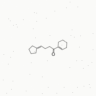 O=C(CCC=C1CCCC1)C1=CCCCC1